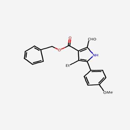 CCc1c(-c2ccc(OC)cc2)[nH]c(C=O)c1C(=O)OCc1ccccc1